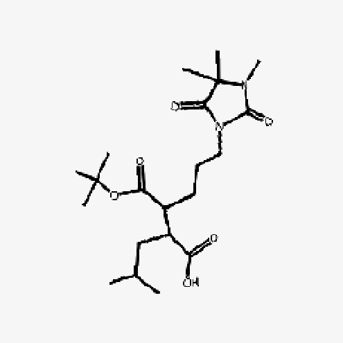 CC(C)CC(C(=O)O)C(CCCN1C(=O)N(C)C(C)(C)C1=O)C(=O)OC(C)(C)C